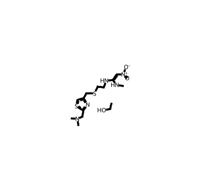 CCO.CN/C(=C\[N+](=O)[O-])NCCSCc1csc(CN(C)C)n1